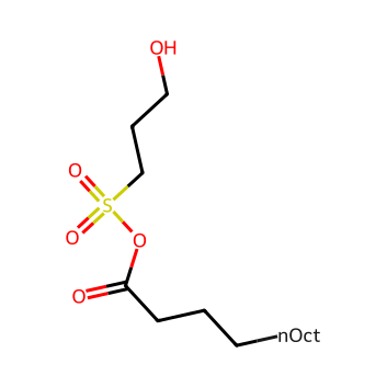 CCCCCCCCCCCC(=O)OS(=O)(=O)CCCO